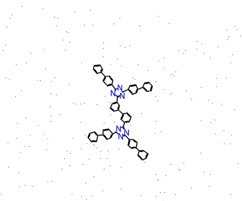 c1ccc(-c2ccc(-c3nc(-c4ccc(-c5ccccc5)cc4)nc(-c4cccc(-c5cccc(-c6nc(-c7ccc(-c8ccccc8)cc7)nc(-c7ccc(-c8ccccc8)cc7)n6)c5)c4)n3)cc2)cc1